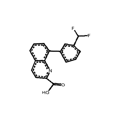 O=C(O)c1ccc2cccc(-c3cccc(C(F)F)c3)c2n1